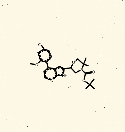 COc1cc(Cl)ccc1-c1ccnc2[nH]c(C3CN(C(=O)OC(C)(C)C)C(C)(C)CO3)cc12